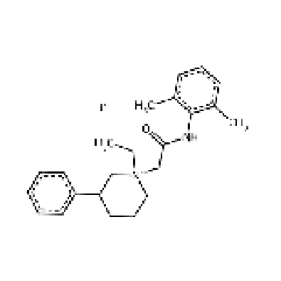 CC[N+]1(CC(=O)Nc2c(C)cccc2C)CCCC(c2ccccc2)C1.[I-]